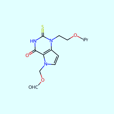 CC(C)OCCn1c(=S)[nH]c(=O)c2c1ccn2COC=O